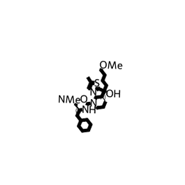 CNC[C@H](CC1CCCCC1)NC(=O)N1CCC[C@@H]([C@@](O)(CCCCOC)c2ncc(C)s2)C1